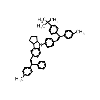 Cc1ccc(/C(=C/c2ccc(N3c4ccc(/C=C(\c5ccccc5)c5ccc(C)cc5)cc4C4CCCC43)cc2)c2ccc(C(C)(C)C)cc2)cc1